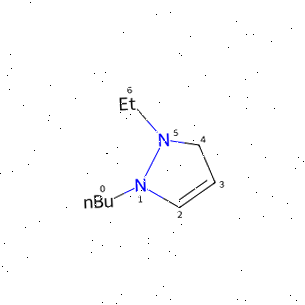 CCCCN1C=CCN1CC